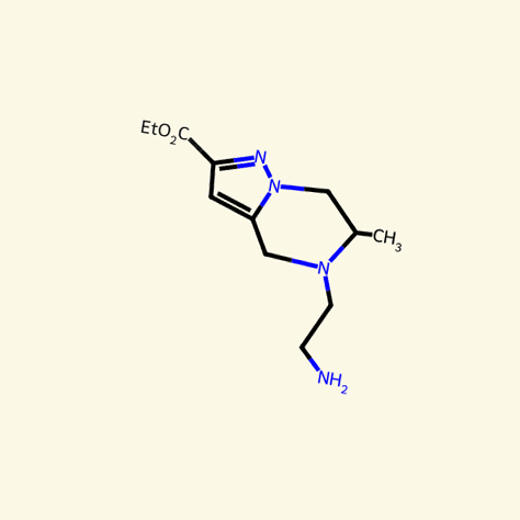 CCOC(=O)c1cc2n(n1)CC(C)N(CCN)C2